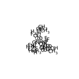 C[C@H](OC(=O)N(c1nn(CC(F)(F)F)c2c(-c3ccc(C#CC(C)(C)S(C)(=O)=O)nc3[C@H](Cc3cc(F)cc(F)c3)NC(=O)Cn3nc(C(F)(F)F)c4c3C(F)(F)[C@@H]3C[C@H]43)ccc(Cl)c12)S(C)(=O)=O)C(=O)O